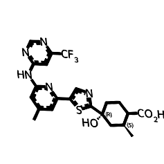 Cc1cc(Nc2cc(C(F)(F)F)ncn2)nc(-c2cnc([C@@]3(O)CCC(C(=O)O)[C@@H](C)C3)s2)c1